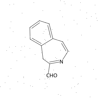 O=CC1=NC=Cc2ccccc2C1